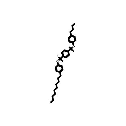 CCCCCCCCCCc1ccc(OC(F)(F)c2ccc(C(F)(F)Oc3ccc(CCCC)cc3)cc2)cc1